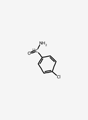 N[13C](=O)c1ccc(Cl)cc1